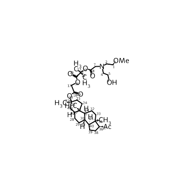 COCCN(CCO)CC(=O)OC(C)(C)C(=O)OCC(=O)O[C@]1(C)CC[C@@]2(C)[C@@H](CC[C@@H]3[C@@H]2CC[C@]2(C)[C@@H](C(C)=O)CC[C@@H]32)C1